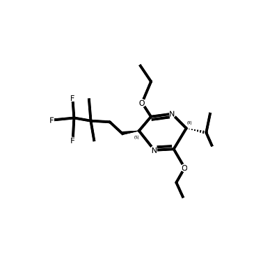 CCOC1=N[C@H](C(C)C)C(OCC)=N[C@H]1CCC(C)(C)C(F)(F)F